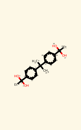 CCC(O)(O)c1ccc(C(C)(C)c2ccc(C(O)(O)CC)cc2)cc1